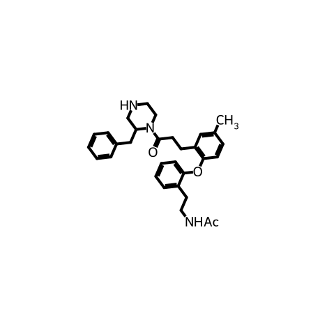 CC(=O)NCCc1ccccc1Oc1ccc(C)cc1CCC(=O)N1CCNCC1Cc1ccccc1